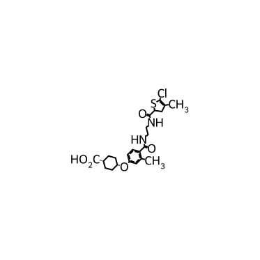 CC1=C(Cl)SC(C(=O)NCCNC(=O)c2ccc(O[C@H]3CC[C@@H](C(=O)O)CC3)cc2C)C1